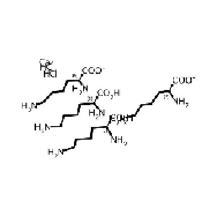 Cl.Cl.NCCCC[C@H](N)C(=O)O.NCCCC[C@H](N)C(=O)O.NCCCC[C@H](N)C(=O)[O-].NCCCC[C@H](N)C(=O)[O-].[Ca+2]